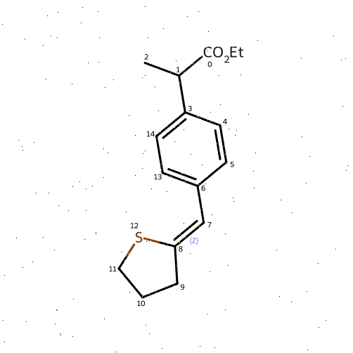 CCOC(=O)C(C)c1ccc(/C=C2/CCCS2)cc1